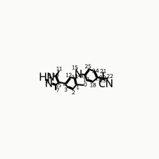 Cc1ccc(-c2c(C)n[nH]c2C)cc1N(C)c1ccc(C(C)(C)C#N)cc1